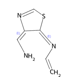 C=C/N=C1/SC=N/C1=C/N